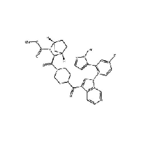 CC(C)n1nccc1-c1cc(F)ccc1-n1cc(C(=O)C2CCN(C(=O)[C@@H]3[C@H]4CC[C@H](C4)N3C(=O)OC(C)(C)C)CC2)c2ccncc21